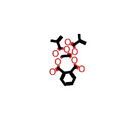 C=C(C)C(=O)OC1(OC(=O)C(=C)C)COC(=O)c2ccccc2C(=O)O1